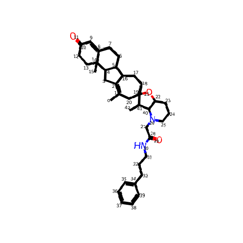 CC1=C2CC3C(CCC4=CC(=O)CCC43C)C2CCC2(C1)OC1CCCN(CC(=O)NCCCc3ccccc3)C1C2C